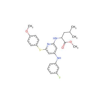 COC(=O)C(CC(C)C)Nc1cc(Nc2cccc(F)c2)cc(Sc2ccc(OC)cc2)n1